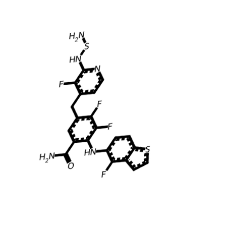 NSNc1nccc(Cc2cc(C(N)=O)c(Nc3ccc4sccc4c3F)c(F)c2F)c1F